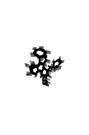 C1=CC[C]([Zr+2][c]2cccc3c2c2c(c4ccccc43)-c3ccccc3C2)=C1.[Cl-].[Cl-]